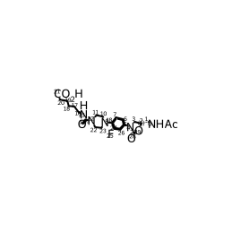 CC(=O)NC[C@H]1CN(c2ccc(N3CCN(C(=O)NCCCCCC(=O)O)CC3)c(F)c2)C(=O)O1